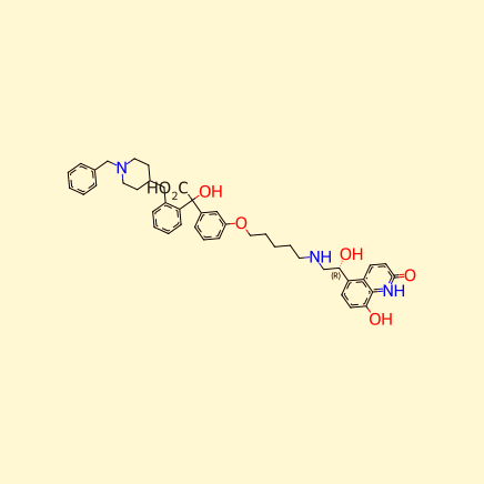 O=C(O)C(O)(c1cccc(OCCCCCNC[C@H](O)c2ccc(O)c3[nH]c(=O)ccc23)c1)c1ccccc1CC1CCN(Cc2ccccc2)CC1